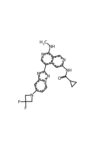 CNc1ncc(-c2nc3cc(N4CC(F)(F)C4)ccn3n2)c2cc(NC(=O)C3CC3)ncc12